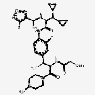 CCc1nonc1C(O)N[C@H](C(=O)Nc1ccc([C@H](C)[C@@H](NC(=O)COC)C(=O)N2CCN(C)CC2)cc1F)C(C1CC1)C1CC1